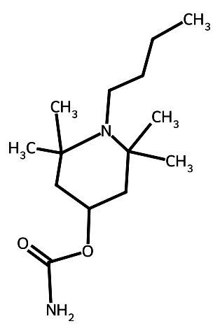 CCCCN1C(C)(C)CC(OC(N)=O)CC1(C)C